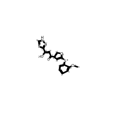 COc1ccccc1Sc1cc(C(=O)C=C(O)c2nc[nH]n2)co1